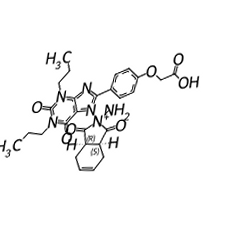 CCCn1c(=O)c2c(nc(-c3ccc(OCC(=O)O)cc3)n2[N+]2(N)C(=O)[C@H]3CC=CC[C@H]3C2=O)n(CCC)c1=O